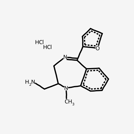 CN1c2ccccc2C(c2ccco2)=NCC1CN.Cl.Cl